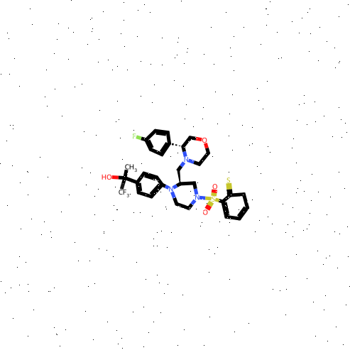 CC(O)(c1ccc(N2CCN(S(=O)(=O)C3=CC=CCC3=S)C[C@@H]2CN2CCOC[C@H]2c2ccc(F)cc2)cc1)C(F)(F)F